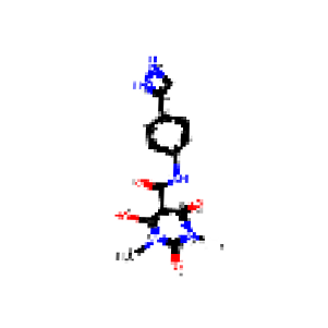 Cn1c(O)c(C(=O)Nc2ccc(-c3c[nH][nH]3)cc2)c(=O)n(C)c1=O